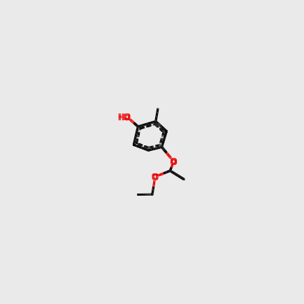 CCOC(C)Oc1ccc(O)c(C)c1